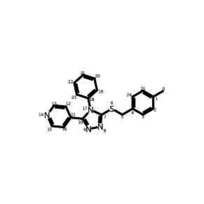 Cc1ccc(CSc2nnc(-c3ccncc3)n2-c2ccccc2)cc1